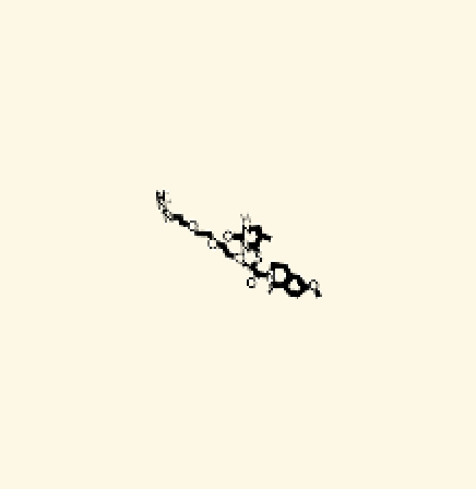 COc1ccc2c(c1)CCN(C(=O)[C@@H](COCCOCCOCCN=[N+]=[N-])Sc1nc(=O)[nH]cc1C)[C@@H]2C